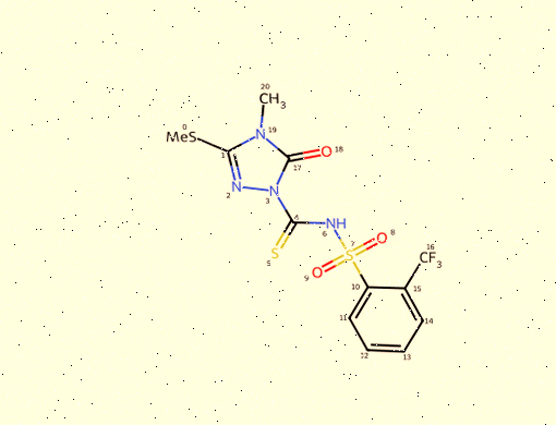 CSc1nn(C(=S)NS(=O)(=O)c2ccccc2C(F)(F)F)c(=O)n1C